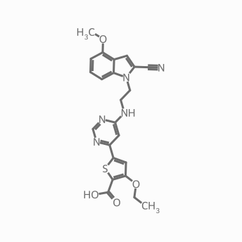 CCOc1cc(-c2cc(NCCn3c(C#N)cc4c(OC)cccc43)ncn2)sc1C(=O)O